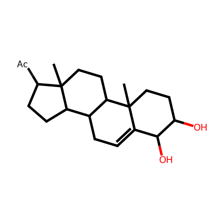 CC(=O)C1CCC2C3CC=C4C(O)C(O)CCC4(C)C3CCC12C